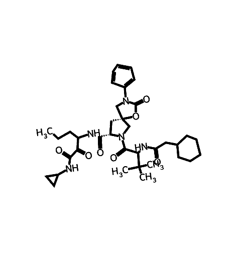 CCCC(NC(=O)[C@@H]1C[C@@]2(CN(c3ccccc3)C(=O)O2)CN1C(=O)C(NC(=O)CC1CCCCC1)C(C)(C)C)C(=O)C(=O)NC1CC1